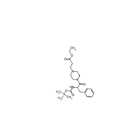 CCOC(=O)CCN1CCN(C(=O)C(Cc2ccccc2)NC(=O)OC(C)(C)C)CC1